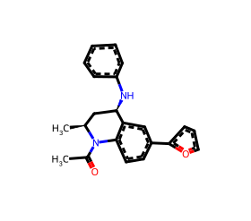 CC(=O)N1c2ccc(-c3ccco3)cc2[C@H](Nc2ccccc2)C[C@@H]1C